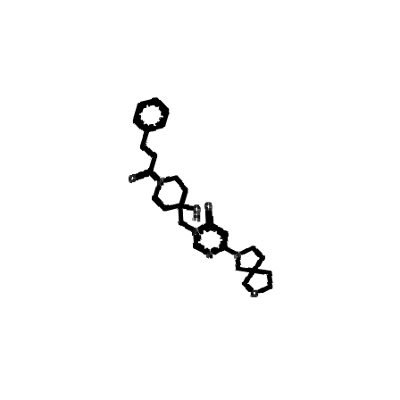 O=C(CCc1ccccc1)N1CCC(O)(Cn2cnc(N3CCC4(CCOC4)C3)cc2=O)CC1